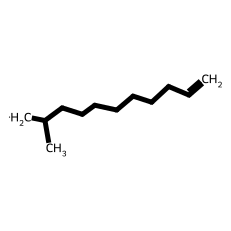 [CH2]C(C)CCCCCCCC=C